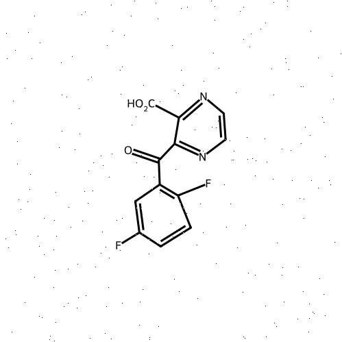 O=C(O)c1nccnc1C(=O)c1cc(F)ccc1F